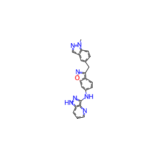 Cn1ncc2cc(Cc3noc4cc(Nc5n[nH]c6cccnc56)ccc34)ccc21